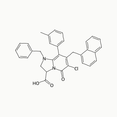 Cc1cccc(-c2c(Cc3cccc4ccccc34)c(Cl)c(=O)n3c2N(Cc2ccccc2)CC3C(=O)O)c1